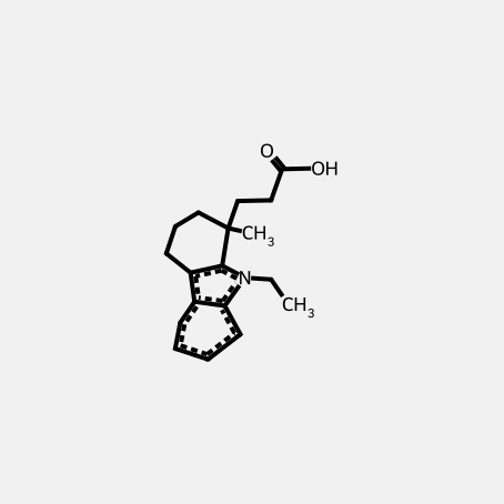 CCn1c2c(c3ccccc31)CCCC2(C)CCC(=O)O